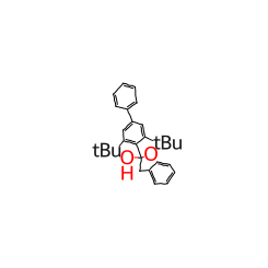 CC(C)(C)c1cc(-c2ccccc2)cc(C(C)(C)C)c1C1(O)Cc2ccccc2O1